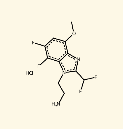 COc1cc(F)c(F)c2c1nc(C(F)F)n2CCN.Cl